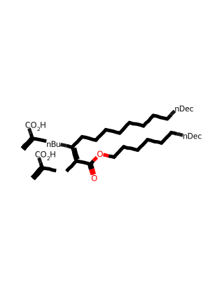 C=C(C)C(=O)O.C=C(C)C(=O)O.CCCCCCCCCCCCCCCCCCC(CCCC)=C(C)C(=O)OCCCCCCCCCCCCCCCC